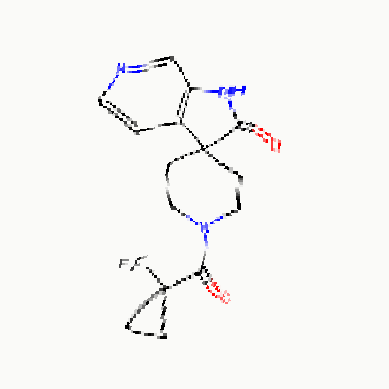 O=C1Nc2cnccc2C12CCN(C(=O)C1(C(F)(F)F)CC1)CC2